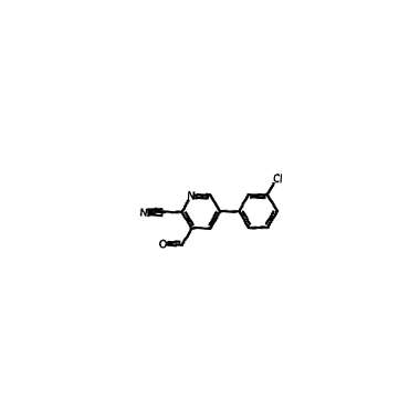 N#Cc1ncc(-c2cccc(Cl)c2)cc1C=O